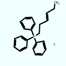 CC/C=C/CC[P+](c1ccccc1)(c1ccccc1)c1ccccc1.[I-]